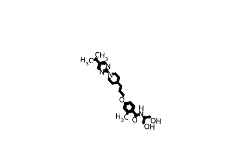 Cc1cc(OCCCC2CCN(c3ncc(C(C)C)cn3)CC2)ccc1C(=O)NC(CO)CO